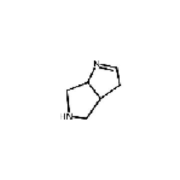 C1=NC2CNCC2C1